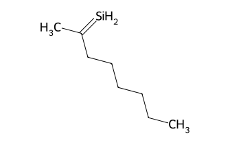 CCCCCCC(C)=[SiH2]